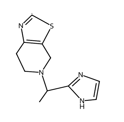 CC(c1ncc[nH]1)N1CCc2n[c]sc2C1